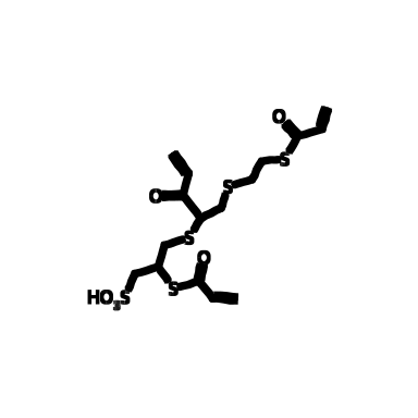 C=CC(=O)SCCSCC(SCC(CS(=O)(=O)O)SC(=O)C=C)C(=O)C=C